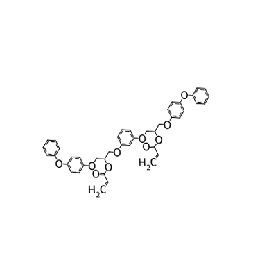 C=CC(=O)OC(COc1ccc(Oc2ccccc2)cc1)COc1cccc(OCC(COc2ccc(Oc3ccccc3)cc2)OC(=O)C=C)c1